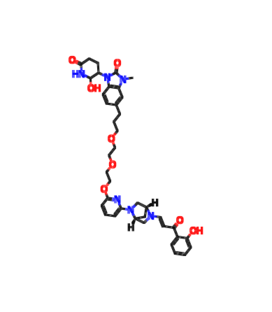 Cn1c(=O)n(C2CCC(=O)NC2O)c2ccc(CCCOCCOCCOc3cccc(N4C[C@H]5C[C@@H]4CN5/C=C/C(=O)c4ccccc4O)n3)cc21